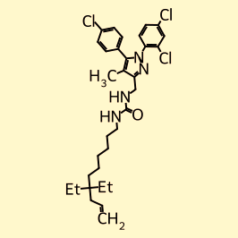 C=CCC(CC)(CC)CCCCCCNC(=O)NCc1nn(-c2ccc(Cl)cc2Cl)c(-c2ccc(Cl)cc2)c1C